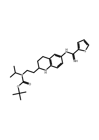 CC(C)N(CCC1CCc2cc(NC(=N)c3cccs3)ccc2N1)C(=O)OC(C)(C)C